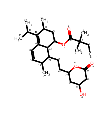 CCC(C)(C)C(=O)OC1CC(C)C(C(C)C)=C2C=CC(C)C(CCC3CC(O)CC(=O)O3)C21